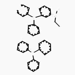 C[CH2][Ni][Br].c1ccc(P(c2ccccc2)c2ccccc2)cc1.c1ccc(P(c2ccccc2)c2ccccc2)cc1